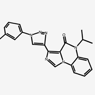 CC(C)n1c(=O)c2c(-c3cn(-c4cccc(F)c4)nn3)ncn2c2ccccc21